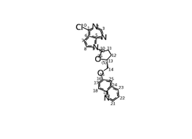 Clc1ncnc2c1ccn2[C@H]1CC[C@@H](COc2ccc3ncccc3c2)O1